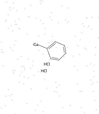 Cl.Cl.[Ga][c]1ccccc1